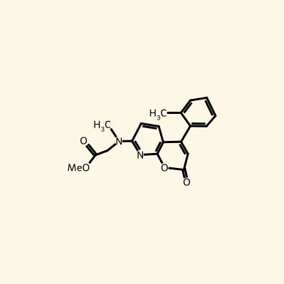 COC(=O)CN(C)c1ccc2c(-c3ccccc3C)cc(=O)oc2n1